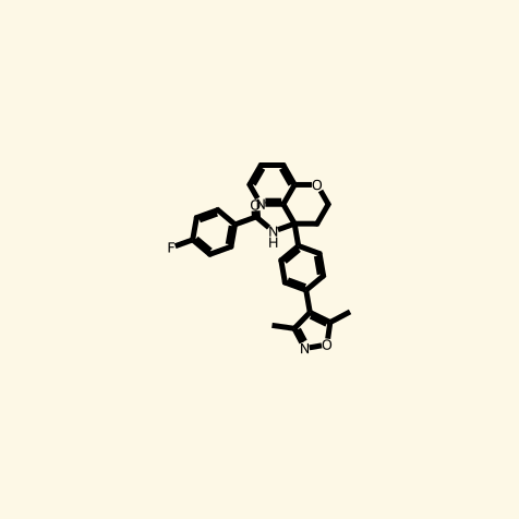 Cc1noc(C)c1-c1ccc(C2(NC(=O)c3ccc(F)cc3)CCOc3cccnc32)cc1